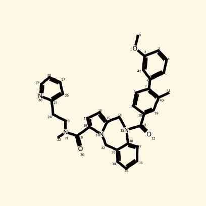 COc1cccc(-c2ccc(C(=O)N3Cc4ccc(C(=O)N(C)CCc5ccccn5)n4Cc4ccccc43)cc2C)c1